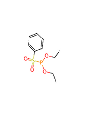 CCOP(OCC)S(=O)(=O)c1ccccc1